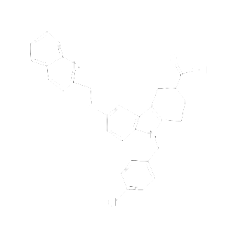 O=C(O)C1CCc2c(c3cc(OCc4ccc5ccccc5n4)ccc3n2Cc2ccc(Cl)cc2)C1